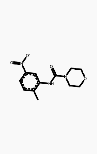 Cc1ccc([N+](=O)[O-])cc1NC(=O)N1CCOCC1